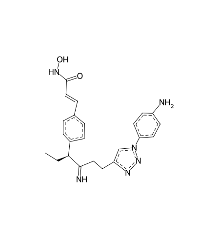 CC[C@H](C(=N)CCc1cn(-c2ccc(N)cc2)nn1)c1ccc(/C=C/C(=O)NO)cc1